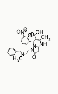 CC1=C(C(=O)O)C(c2cccc([N+](=O)[O-])c2Cl)n2c(cc(=O)n2CCN(C)Cc2ccccc2)N1